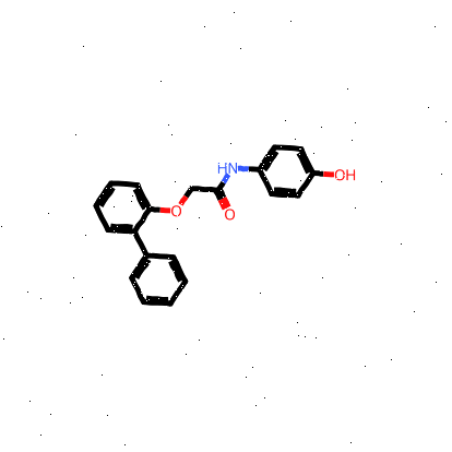 O=C(COc1ccccc1-c1ccccc1)Nc1ccc(O)cc1